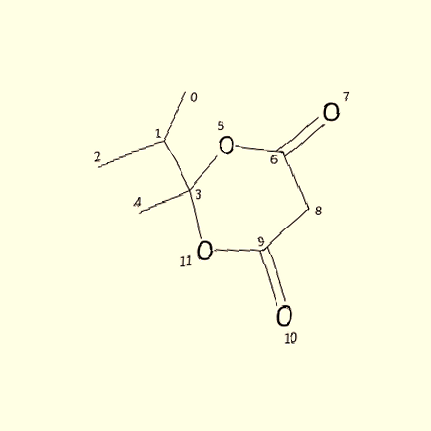 CC(C)C1(C)OC(=O)CC(=O)O1